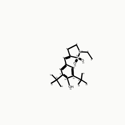 CCN1CCC(=Cc2cc(C(C)(C)C)c(O)c(C(C)(C)C)c2)S1(=O)=O